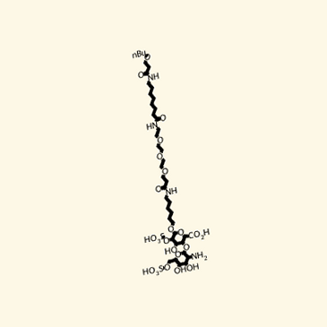 CCCCOCCC(=O)NCCCCCCCC(=O)NCCOCCOCCOCCC(=O)NCCCCCCOC1OC(C(=O)O)C(OC2OC(COS(=O)(=O)O)C(O)C(O)C2N)C(O)C1OS(=O)(=O)O